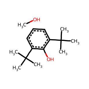 CC(C)(C)c1cccc(C(C)(C)C)c1O.CO